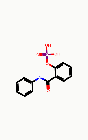 O=C(Nc1ccccc1)c1ccccc1OP(=O)(O)O